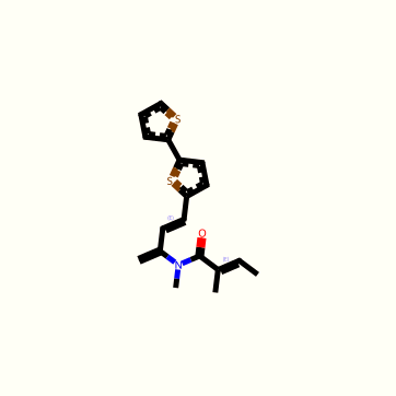 C=C(/C=C/c1ccc(-c2cccs2)s1)N(C)C(=O)/C(C)=C/C